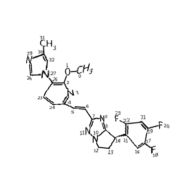 COc1nc(/C=C/c2nc3n(n2)CC[C@@H]3c2cc(F)c(F)cc2F)ccc1-n1cnc(C)c1